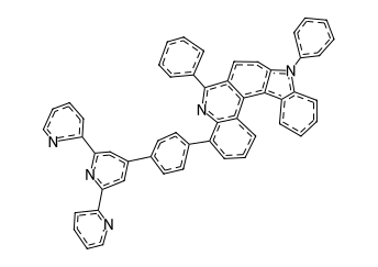 c1ccc(-c2nc3c(-c4ccc(-c5cc(-c6ccccn6)nc(-c6ccccn6)c5)cc4)cccc3c3c2ccc2c3c3ccccc3n2-c2ccccc2)cc1